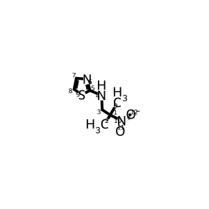 CC(C)(CNc1nccs1)[N+](=O)[O-]